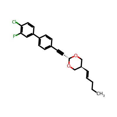 CCCC=C[C@H]1CO[C@H](C#Cc2ccc(-c3ccc(Cl)c(F)c3)cc2)OC1